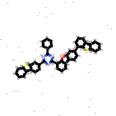 c1ccc(-c2nc(-c3ccc4c(c3)sc3ccccc34)nc(-c3cccc4c3oc3cc(-c5cccc6c5sc5ccccc56)ccc34)n2)cc1